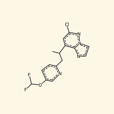 CC(Cc1ccc(OC(F)F)cn1)c1cc(Cl)nn2ccnc12